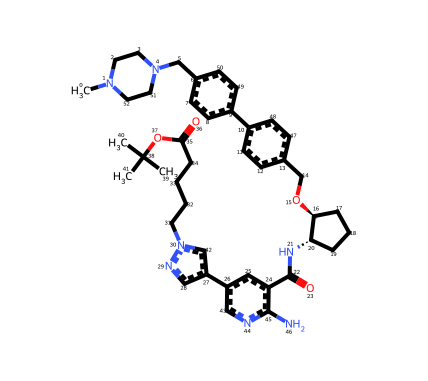 CN1CCN(Cc2ccc(-c3ccc(CO[C@H]4CCC[C@@H]4NC(=O)c4cc(-c5cnn(CCCCC(=O)OC(C)(C)C)c5)cnc4N)cc3)cc2)CC1